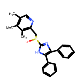 COc1c(C)cnc(C[S+]([O-])c2nc(-c3ccccc3)c(-c3ccccc3)[nH]2)c1C